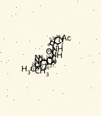 CC(=O)N1CCC2(CCC2NC(=O)Nc2cc(-c3cnn4c3CC(C)(C)C4)c(Cl)cn2)CC1